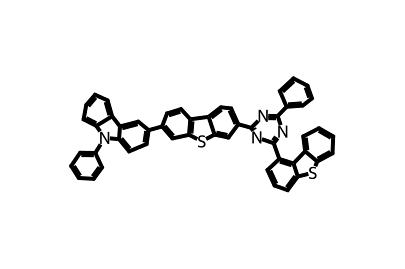 c1ccc(-c2nc(-c3ccc4c(c3)sc3cc(-c5ccc6c(c5)c5ccccc5n6-c5ccccc5)ccc34)nc(-c3cccc4sc5ccccc5c34)n2)cc1